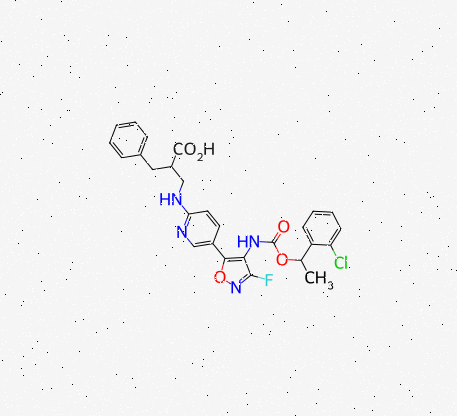 CC(OC(=O)Nc1c(F)noc1-c1ccc(NCC(Cc2ccccc2)C(=O)O)nc1)c1ccccc1Cl